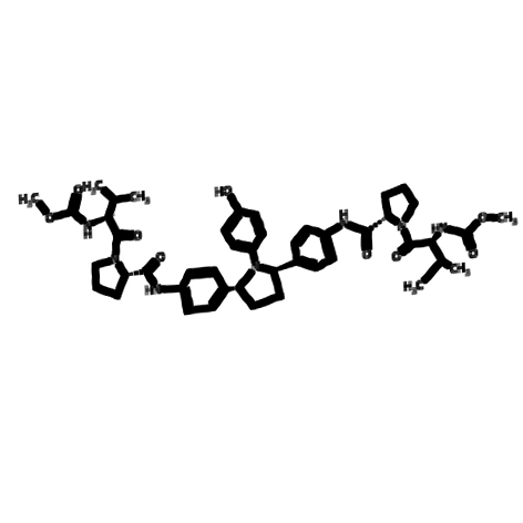 COC(=O)N[C@H](C(=O)N1CCC[C@H]1C(=O)Nc1ccc([C@H]2CC[C@H](c3ccc(NC(=O)[C@@H]4CCCN4C(=O)[C@@H](NC(=O)OC)C(C)C)cc3)N2c2ccc(O)cc2)cc1)C(C)C